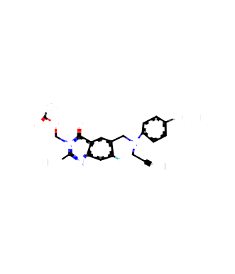 C#CCN(Cc1cc2c(=O)n(COC(=O)C(C)(C)C)c(C)nc2cc1F)c1ccc(C(=O)O)cc1